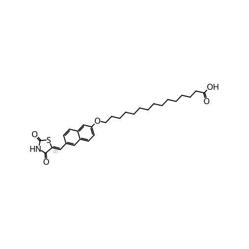 O=C(O)CCCCCCCCCCCCCCOc1ccc2cc(/C=C3\SC(=O)NC3=O)ccc2c1